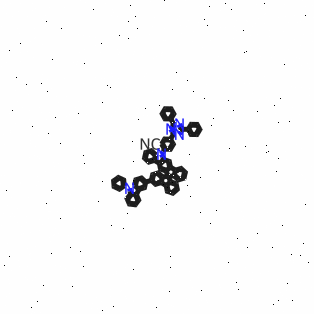 N#Cc1cc(-c2nc(-c3ccccc3)nc(-c3ccccc3)n2)ccc1-n1c2ccccc2c2cc3c(cc21)-c1ccccc1C31c2ccccc2-c2cc(-c3ccc4c(c3)c3ccccc3n4-c3ccccc3)ccc21